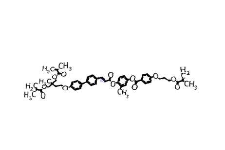 C=C(C)C(=O)OCCCOc1ccc(C(=O)Oc2ccc(OC(=O)/C=C/c3ccc(-c4ccc(OCCC(C)(COC(=O)C(=C)C)COC(=O)C(=C)C)cc4)cc3)c(C)c2)cc1